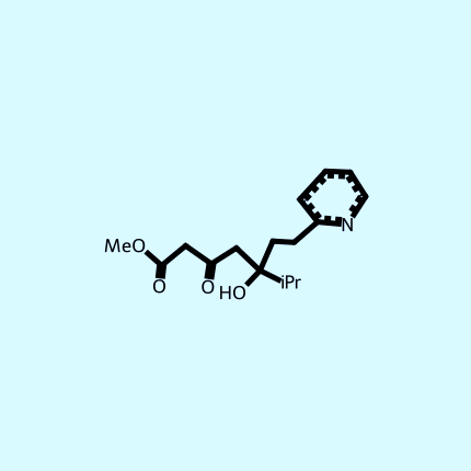 COC(=O)CC(=O)CC(O)(CCc1ccccn1)C(C)C